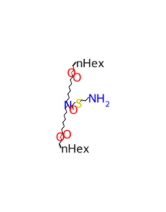 CCCCCC/C=C\COC(=O)CCCCCCCN(CCCCCCCC(=O)OC/C=C\CCCCCC)C(=O)CSCCCN